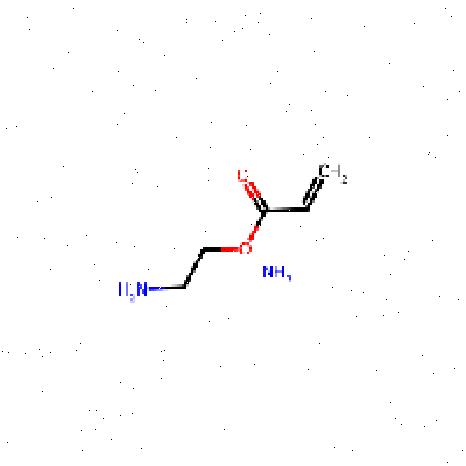 C=CC(=O)OCCN.N